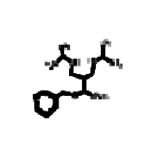 CCCCCC(OCc1ccccc1)C(CNC(N)CCC)CNC(N)CCC